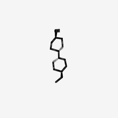 CC[C@H]1CC[C@H]([C@H]2CC[C@H](O)CC2)CC1